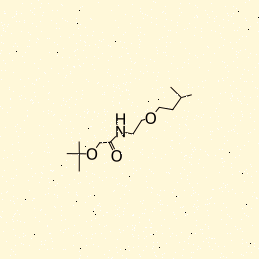 CC(C)CCOCCNC(=O)COC(C)(C)C